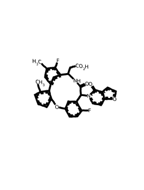 Cc1cc2cc(c1F)C(CC(=O)O)NC(=O)C(n1ccc3occc3c1=O)c1cc(ccc1F)Oc1cccc(C)c1-2